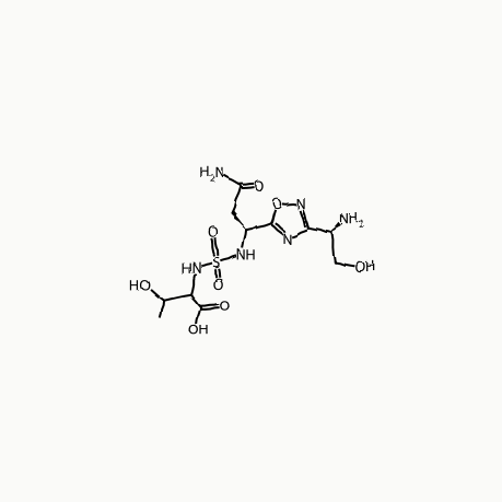 CC(O)C(NS(=O)(=O)N[C@@H](CC(N)=O)c1nc([C@@H](N)CO)no1)C(=O)O